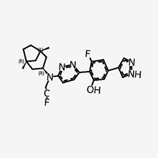 C[C@]12CC[C@](C)(C[C@@H](N(CCF)c3ccc(-c4c(O)cc(-c5cn[nH]c5)cc4F)nn3)C1)C2